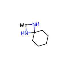 C1CCC2(CC1)[NH][Mn][NH]2